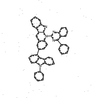 c1ccc(-c2nc(-n3c4nc5ccccc5c-4cc4cc(-c5cccc6c5c5ccccc5n6-c5ccccc5)ccc43)nc3ccccc23)cc1